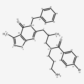 Cc1nsc2nc(CC(C)CN(CCCN)C(=O)c3ccc(Br)cc3)n(Cc3ccccc3)c(=O)c12